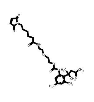 CC(=O)CC(C)(C)c1c(C)cc(C)cc1OC(=O)OCCOCCNC(=O)CCCCCN1C(=O)C=CC1=O